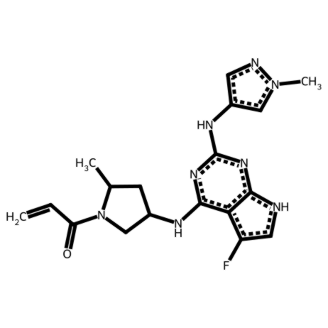 C=CC(=O)N1CC(Nc2nc(Nc3cnn(C)c3)nc3[nH]cc(F)c23)CC1C